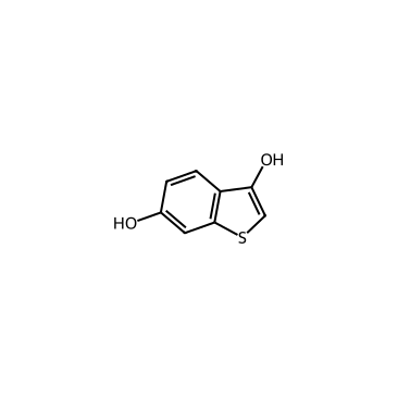 Oc1ccc2c(O)csc2c1